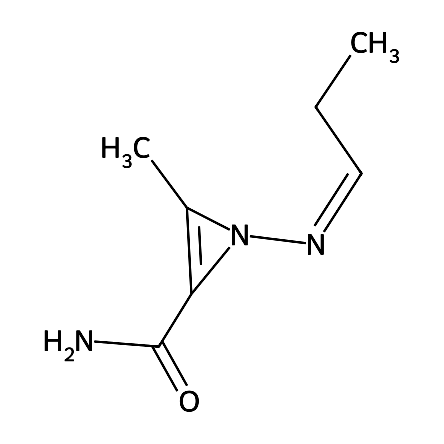 CC/C=N\N1C(C)=C1C(N)=O